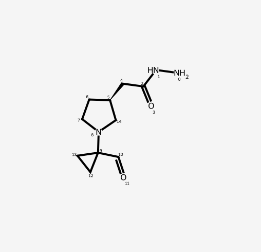 NNC(=O)C[C@@H]1CCN(C2(C=O)CC2)C1